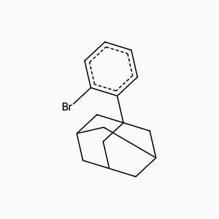 Brc1ccccc1C12CC3CC(CC(C3)C1)C2